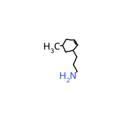 CC1CC=CC(CCCN)C1